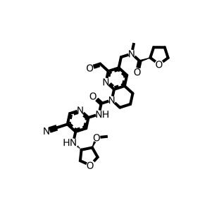 CO[C@H]1COC[C@@H]1Nc1cc(NC(=O)N2CCCc3cc(CN(C)C(=O)[C@H]4CCCO4)c(C=O)nc32)ncc1C#N